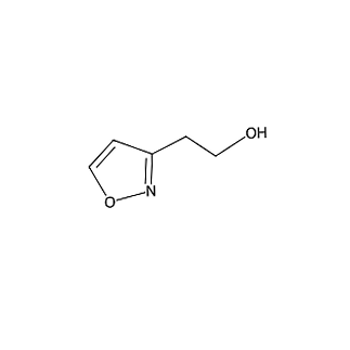 OCCc1ccon1